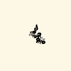 CCCN1CCN(c2ccc(Nc3nccc(-c4c(-c5ccc(OC)c(C(=O)Nc6c(F)cccc6F)c5)nc5ccccn45)n3)c(OC)c2)CC1